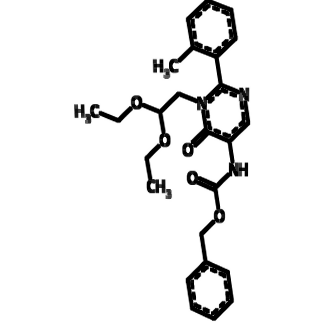 CCOC(Cn1c(-c2ccccc2C)ncc(NC(=O)OCc2ccccc2)c1=O)OCC